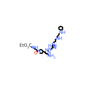 CCOC(=O)CNCCC(=O)N1CCC(c2cc(N)nc(NCc3cn(CCCNCCCNC4CCCCC4)nn3)n2)CC1